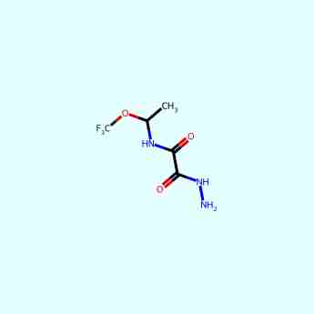 CC(NC(=O)C(=O)NN)OC(F)(F)F